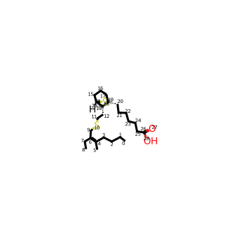 CCCCC(C)=C(CC)CSCC[C@@H]1[C@@H]2CCC(S2)[C@@H]1CCCCCCC(=O)O